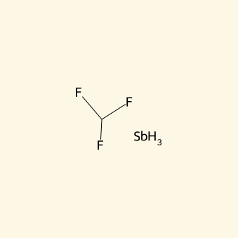 FC(F)F.[SbH3]